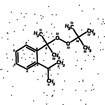 CC(C)c1ccccc1C(C)(C)OOC(C)(C)C